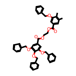 Cc1cc(C(=O)OCCOC(=O)c2cc(OCc3ccccc3)c(OCc3ccccc3)c(OCc3ccccc3)c2)cc(OCc2ccccc2)c1C